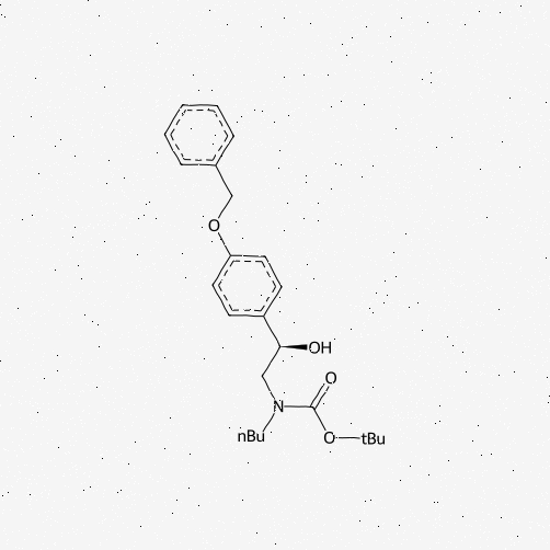 CCCCN(C[C@H](O)c1ccc(OCc2ccccc2)cc1)C(=O)OC(C)(C)C